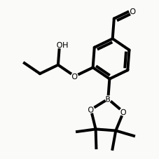 CCC(O)Oc1cc(C=O)ccc1B1OC(C)(C)C(C)(C)O1